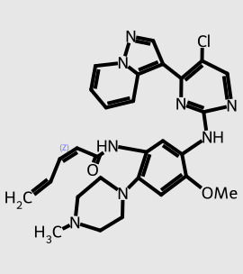 C=C/C=C\C(=O)Nc1cc(Nc2ncc(Cl)c(-c3cnn4ccccc34)n2)c(OC)cc1N1CCN(C)CC1